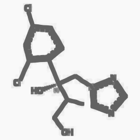 CC(CO)[C@](O)(Cn1cncn1)c1ccc(Cl)cc1Cl